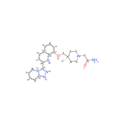 NC(=O)CN1CCC(F)(COc2cccc3ccc(-c4nnc5ccccn45)nc23)CC1